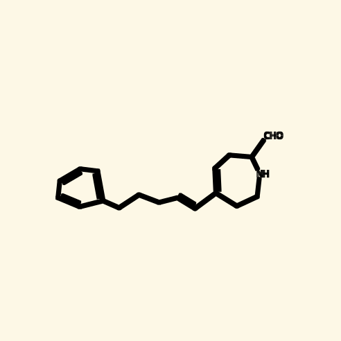 O=CC1CC=C(/C=C/CCCc2ccccc2)CCN1